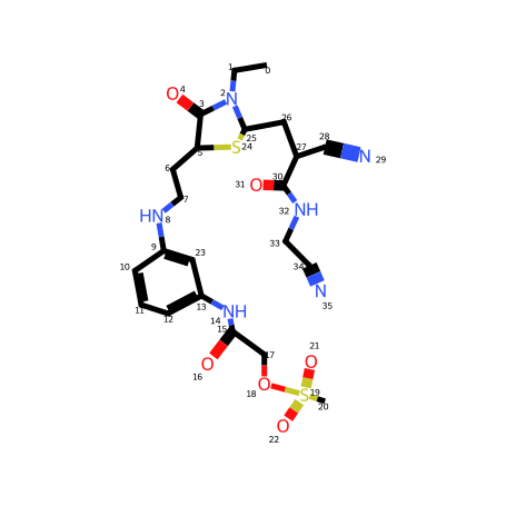 CCN1C(=O)C(CCNc2cccc(NC(=O)COS(C)(=O)=O)c2)SC1CC(C#N)C(=O)NCC#N